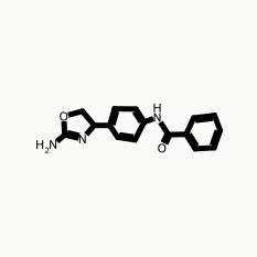 NC1=NC(c2ccc(NC(=O)c3ccccc3)cc2)CO1